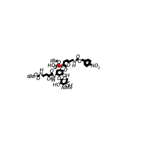 CN[C@@H]1[C@@H](O)[C@@H](O[C@@H]2[C@@H](O)[C@H](O[C@H]3OC(CNC(=O)OCc4ccc([N+](=O)[O-])cc4)=CC[C@H]3NC(=O)O)[C@@H](NC(=O)OC(C)(C)C)C[C@H]2NC(=O)C(O)CCNC(=O)OC(C)(C)C)OC[C@]1(C)O